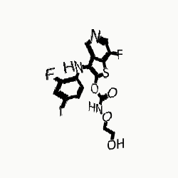 O=C(NOCCO)Oc1sc2c(F)cncc2c1Nc1ccc(I)cc1F